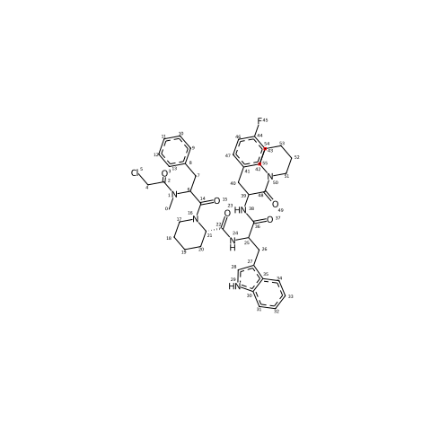 CN(C(=O)CCl)C(Cc1ccccc1)C(=O)N1CCCC[C@H]1C(=O)NC(Cc1c[nH]c2ccccc12)C(=O)NC(Cc1ccc(F)cc1)C(=O)N1CCCCC1